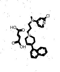 CN(CCCN1CC=C(c2cccc3ccccc23)CC1)c1ccnc(Cl)c1.O=C(O)C=CC(=O)O